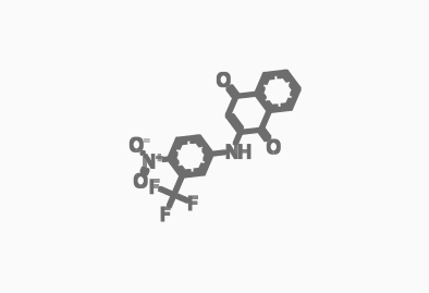 O=C1C=C(Nc2ccc([N+](=O)[O-])c(C(F)(F)F)c2)C(=O)c2ccccc21